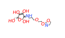 C1=NCCO1.O=CCOCCCN[C@H]1C(O)O[C@H](CO)[C@@H](O)[C@@H]1O